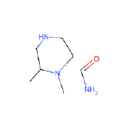 CC1CNCCN1C.NC=O